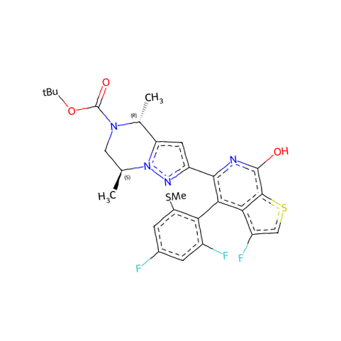 CSc1cc(F)cc(F)c1-c1c(-c2cc3n(n2)[C@@H](C)CN(C(=O)OC(C)(C)C)[C@@H]3C)nc(O)c2scc(F)c12